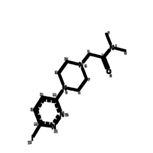 CN(C)C(=O)CN1CCN(c2ccc(I)nn2)CC1